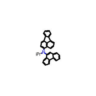 CC(C)N(c1ccc2c3c(cccc13)-c1ccccc1-2)c1cc2ccccc2c2ccccc12